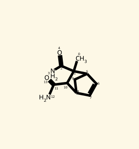 CC1(C(N)=O)C2C=CC(C2)C1C(N)=O